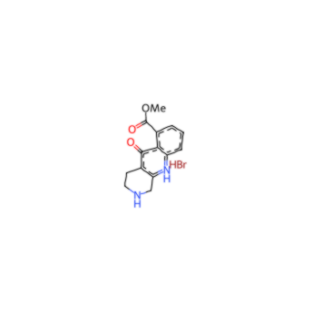 Br.COC(=O)c1cccc2[nH]c3c(c(=O)c12)CCNC3